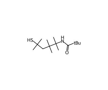 CC(C)(S)CC(C)(C)C(C)(C)NC(=O)C(C)(C)C